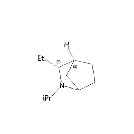 CC[C@@H]1[C@H]2CCC(C2)N1C(C)C